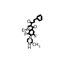 CCn1cc(C(=O)C=Cc2ccccc2)c(=O)c2cc(F)c(N3CCNC(C)C3)c(F)c21